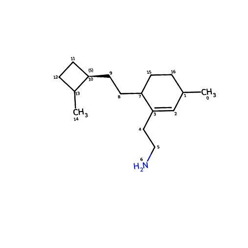 CC1C=C(CCN)C(CC[C@@H]2CCC2C)CC1